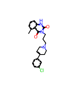 Cc1cccc2[nH]c(=O)n(CCCN3CC=C(c4cccc(Cl)c4)CC3)c(=O)c12